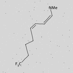 CN/C=C\C=C/CCCC(F)(F)F